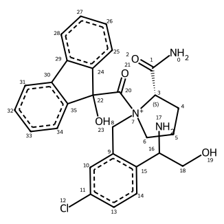 NC(=O)[C@@H]1CCC[N+]1(Cc1cc(Cl)ccc1C(N)CO)C(=O)C1(O)c2ccccc2-c2ccccc21